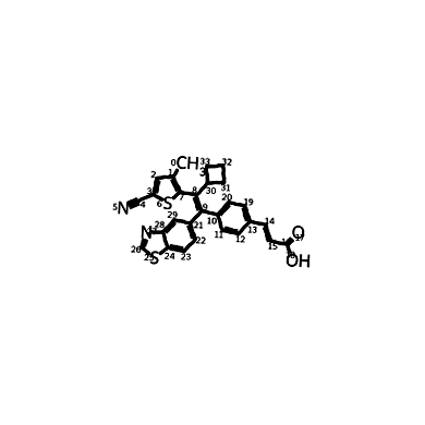 Cc1cc(C#N)sc1C(=C(c1ccc(C=CC(=O)O)cc1)c1ccc2scnc2c1)C1CCC1